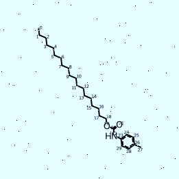 CCCCCCCCCCCCCCCCCCCOC(=O)Nc1ccc(C)cc1